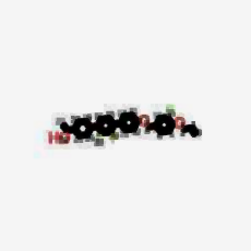 C=CCOc1ccc(COc2ccc(-c3ccc(C4CCC(C(C)O)CC4)c(F)c3F)cc2)cc1F